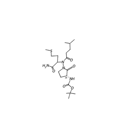 CSCCC(C(N)=O)N(C(=O)CCC(C)C)N1CC[C@@H](NC(=O)OC(C)(C)C)C1=O